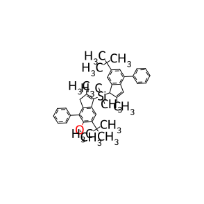 COc1c(C(C)(C)C)cc2c(c1-c1ccccc1)CC(C)=C2[Si](C)(C)C1C(C)=Cc2c(-c3ccccc3)cc(C(C)(C)C)cc21